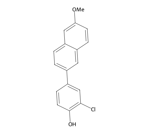 COc1ccc2cc(-c3ccc(O)c(Cl)c3)ccc2c1